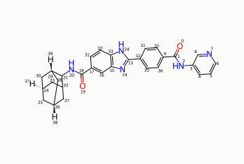 O=C(Nc1cccnc1)c1ccc(-c2nc3cc(C(=O)NC4C5C[C@H]6C[C@@H](C5)C[C@@H]4C6)ccc3[nH]2)cc1